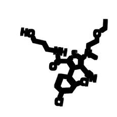 CCOCCN(C)c1sc(C(=O)NCCCO)c(-c2ccc(Cl)cc2Cl)c1C#N